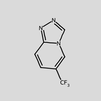 FC(F)(F)c1ccc2nncn2c1